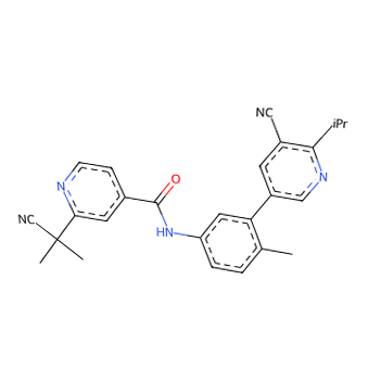 Cc1ccc(NC(=O)c2ccnc(C(C)(C)C#N)c2)cc1-c1cnc(C(C)C)c(C#N)c1